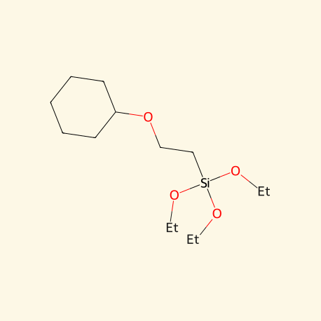 CCO[Si](CCOC1CCCCC1)(OCC)OCC